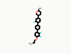 C=CCOc1ccc(-c2ccc(-c3ccc(C4CCC(CCC)OC4)cc3F)cc2)c(F)c1F